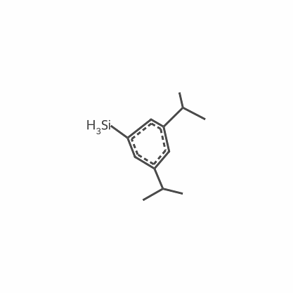 CC(C)c1cc([SiH3])cc(C(C)C)c1